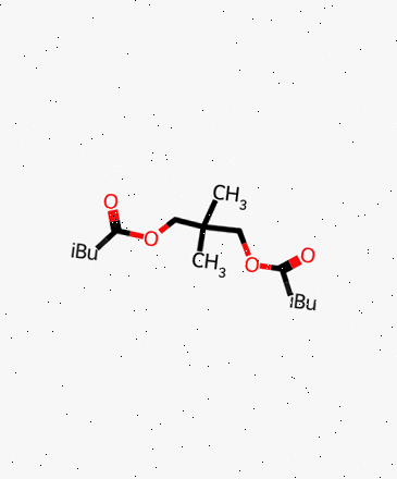 CCC(C)C(=O)OCC(C)(C)COC(=O)C(C)CC